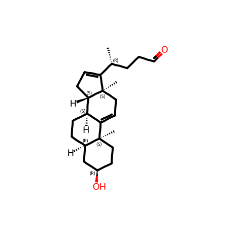 C[C@H](CCC=O)C1=CC[C@H]2[C@@H]3CC[C@@H]4C[C@H](O)CC[C@]4(C)C3=CC[C@]12C